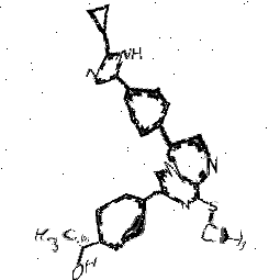 CSc1nc(-c2ccc([C@@H](C)O)cc2)cn2c(-c3ccc(-c4cnc(C5CC5)[nH]4)cc3)cnc12